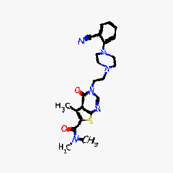 Cc1c(C(=O)N(C)C)sc2ncn(CCN3CCN(c4ccccc4C#N)CC3)c(=O)c12